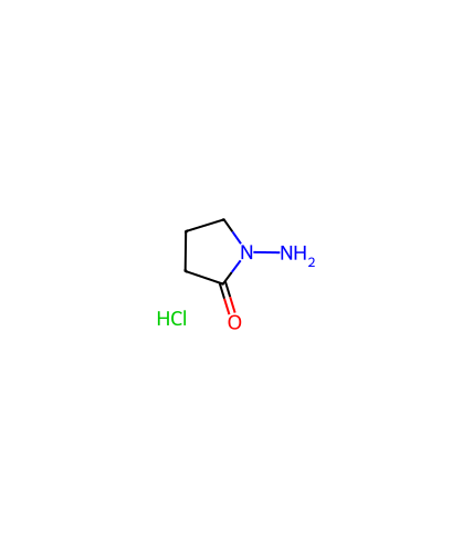 Cl.NN1CCCC1=O